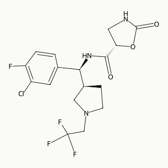 O=C1NC[C@@H](C(=O)N[C@H](c2ccc(F)c(Cl)c2)[C@H]2CCN(CC(F)(F)F)C2)O1